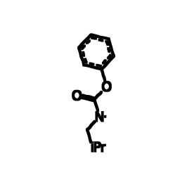 CC(C)C[N]C(=O)Oc1ccccc1